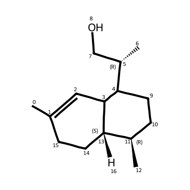 CC1=CC2C([C@@H](C)CO)CC[C@@H](C)[C@@H]2CC1